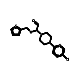 O=CC(OCc1cccs1)N1CCN(c2ccc(Cl)cn2)CC1